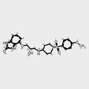 COc1ccc(S(=O)(=O)N2CCC(NC[C@H](O)COc3cccc4[nH]c(=O)[nH]c34)CC2)cc1